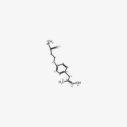 COC(=O)CCSc1ccc(C/C(C)=N\O)cc1